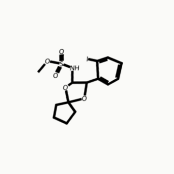 COS(=O)(=O)NC1OC2(CCCC2)OC1c1ccccc1I